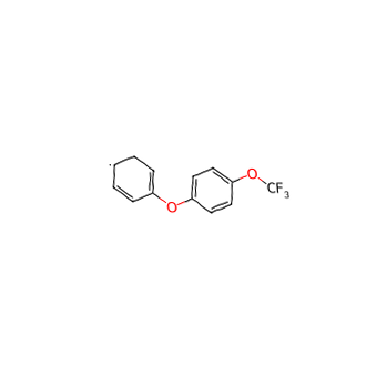 FC(F)(F)Oc1ccc(OC2=CC[CH]C=C2)cc1